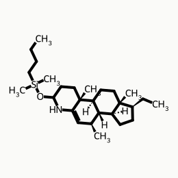 CCCC[Si](C)(C)OC1CC[C@@]2(C)C(=C[C@H](C)[C@H]3[C@@H]4CC[C@H](CC)[C@@]4(C)CC[C@@H]32)N1